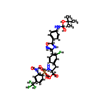 CC(C)(C)OC(=O)Nc1ccc(-c2nc(-c3ccc(CC(NS(=O)(=O)c4ccc(C(F)(F)F)cc4[N+](=O)[O-])C(=O)O)cc3F)no2)cc1